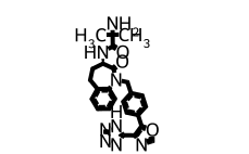 CC(C)(N)C(=O)N[C@@H]1CCc2ccccc2N(Cc2ccc(-c3ocnc3-c3nnn[nH]3)cc2)C1=O